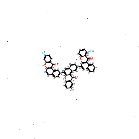 O=c1c2ccc(F)cc2oc2ccc3ccc(-c4cc5ccc(-c6cc7ccccc7c7c(=O)c8c(F)cccc8oc67)cc5c5c(=O)c6cc(F)ccc6oc45)cc3c12